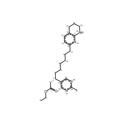 CCOC(=O)C[C@H](CCCCCCc1ccc2c(n1)NCCC2)c1cnc(C)nc1